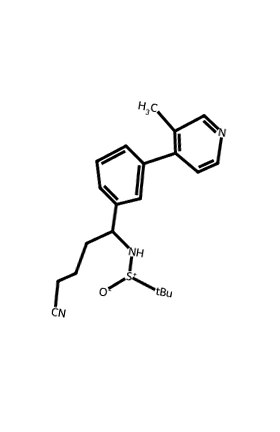 Cc1cnccc1-c1cccc(C(CCCC#N)N[S+]([O-])C(C)(C)C)c1